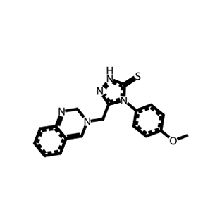 COc1ccc(-n2c(CN3C=c4ccccc4=NC3)n[nH]c2=S)cc1